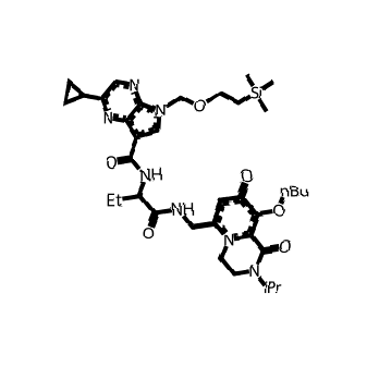 CCCCOc1c2n(c(CNC(=O)C(CC)NC(=O)c3cn(COCC[Si](C)(C)C)c4ncc(C5CC5)nc34)cc1=O)CCN(C(C)C)C2=O